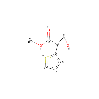 CC(C)OC(=O)C1(c2cccs2)CO1